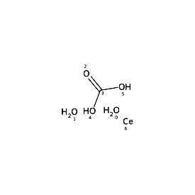 O.O.O=C(O)O.[Ce]